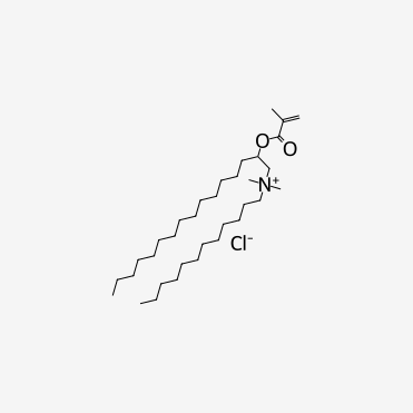 C=C(C)C(=O)OC(CCCCCCCCCCCCCC)C[N+](C)(C)CCCCCCCCCCCC.[Cl-]